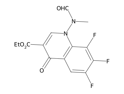 CCOC(=O)c1cn(N(C)C=O)c2c(F)c(F)c(F)cc2c1=O